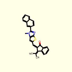 Cn1c(-c2ccc3ccccc3c2)nc2sc(/C=C3\C(=O)c4ccccc4C3=C(C#N)C#N)cc21